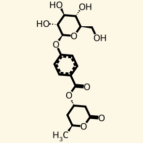 C[C@H]1C[C@H](OC(=O)c2ccc(O[C@@H]3O[C@H](CO)[C@@H](O)[C@H](O)[C@H]3O)cc2)CC(=O)O1